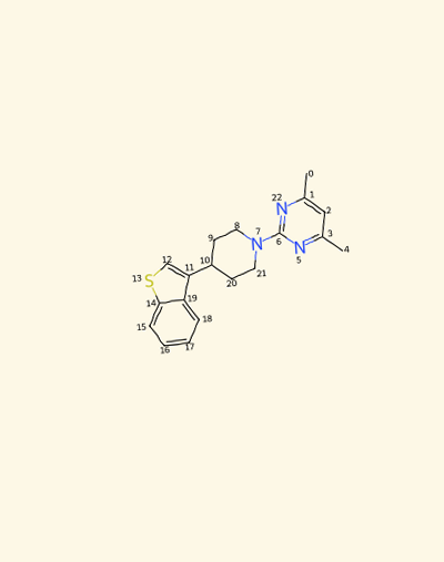 Cc1cc(C)nc(N2CCC(c3csc4ccccc34)CC2)n1